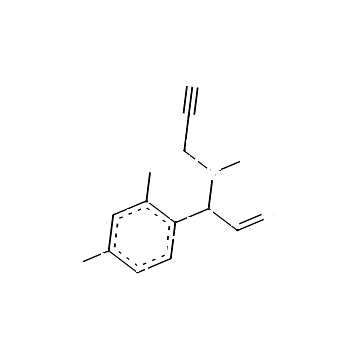 C#CCN(C)C(C=O)c1ccc(F)cc1F